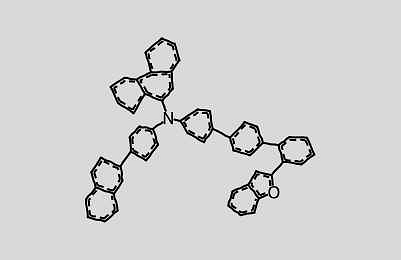 c1ccc(-c2cc3ccccc3o2)c(-c2ccc(-c3ccc(N(c4ccc(-c5ccc6ccccc6c5)cc4)c4cc5ccccc5c5ccccc45)cc3)cc2)c1